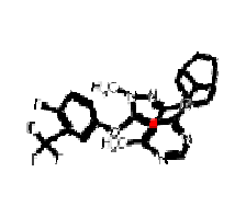 Cc1cc(N2CC3CCC(C2)C3Nc2nc(Oc3ccc(F)c(C(F)(F)F)c3)n(C)n2)ncn1